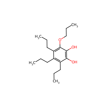 CCCOc1c(O)c(O)c(CCC)c(CCC)c1CCC